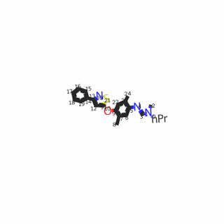 CCCN(C)C=Nc1cc(C)c(Oc2cc(-c3ccccc3)ns2)cc1C